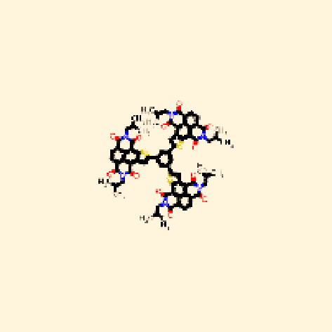 CC(C)CN1C(=O)c2ccc3c4c(c5sc(-c6cc(-c7cc8c9c%10c(ccc%11c%10c(c8s7)C(=O)N(CC(C)C)C%11=O)C(=O)N(CC(C)C)C9=O)cc(-c7cc8c9c%10c(ccc%11c%10c(c8s7)C(=O)N(CC(C)C)C%11=O)C(=O)N(CC(C)C)C9=O)c6)cc5c(c24)C1=O)C(=O)N(CC(C)C)C3=O